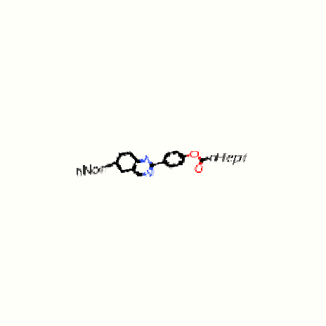 CCCCCCCCCC1CCc2nc(-c3ccc(OC(=O)CCCCCCC)cc3)ncc2C1